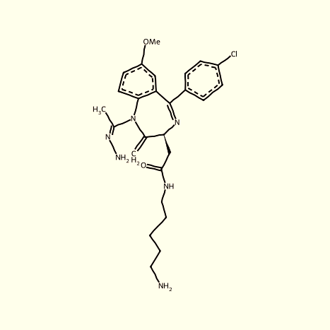 C=C1[C@H](CC(=O)NCCCCCN)N=C(c2ccc(Cl)cc2)c2cc(OC)ccc2N1/C(C)=N\N